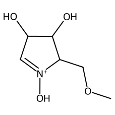 COCC1C(O)C(O)C=[N+]1O